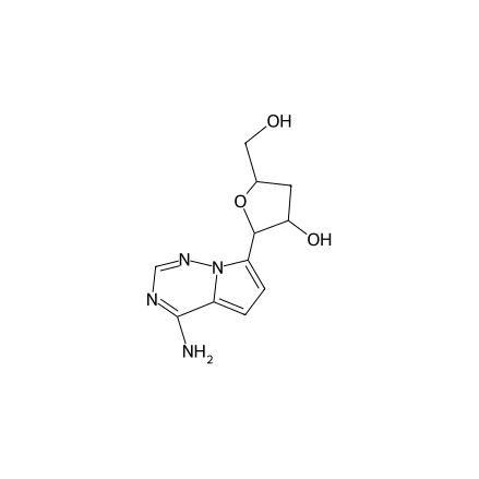 Nc1ncnn2c(C3OC(CO)CC3O)ccc12